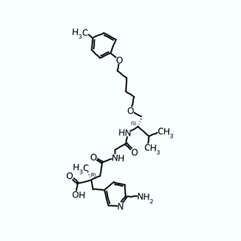 Cc1ccc(OCCCCOC[C@@H](NC(=O)CNC(=O)C[C@@](C)(Cc2ccc(N)nc2)C(=O)O)C(C)C)cc1